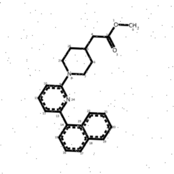 COC(=O)CC1CCN(c2cccc(-c3cccc4ccccc34)n2)CC1